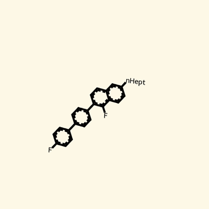 CCCCCCCc1ccc2c(F)c(-c3ccc(-c4ccc(F)cc4)cc3)ccc2c1